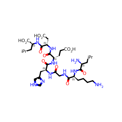 CC(C)C[C@H](NC(=O)[C@H](CC(=O)O)NC(=O)[C@H](CCC(=O)O)NC(=O)[C@H](Cc1c[nH]cn1)NC(=O)CNC(=O)[C@H](CCCCN)NC(=O)[C@@H](N)CC(C)C)C(=O)O